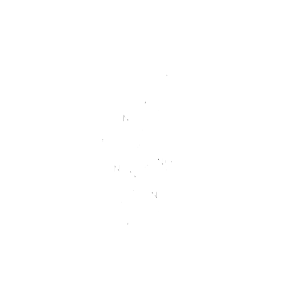 Cc1ccc(CN2CCc3nn(-c4ccccn4)c(N=O)c3C2)cc1